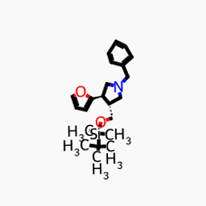 CC(C)(C)[Si](C)(C)OC[C@H]1CN(Cc2ccccc2)C[C@@H]1c1ccco1